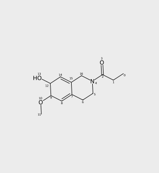 CCC(=O)N1CCC2=CC(OC)C(O)C=C2C1